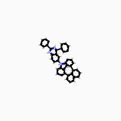 c1ccc(-c2nc(-c3ccccc3)c3cc(-n4c5cccc6c5c5c(cccc54)-c4cccc5cccc-6c45)ccc3n2)cc1